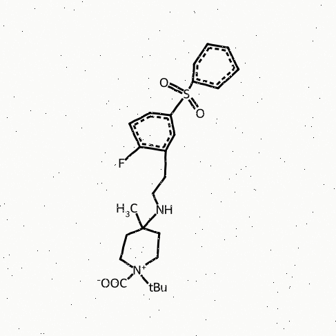 CC1(NCCc2cc(S(=O)(=O)c3ccccc3)ccc2F)CC[N+](C(=O)[O-])(C(C)(C)C)CC1